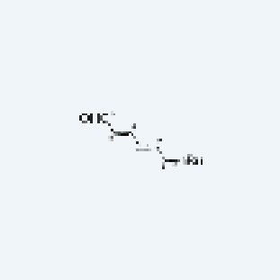 CCCCCC=CC=C[C]=O